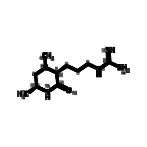 C[C@H]1CN(C)[C@@H](CCCNC(=N)N)C(=O)N1